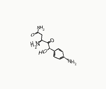 NC(=O)CC(N)C(=O)C(O)c1ccc(N)cc1